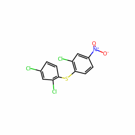 O=[N+]([O-])c1ccc(Sc2ccc(Cl)cc2Cl)c(Cl)c1